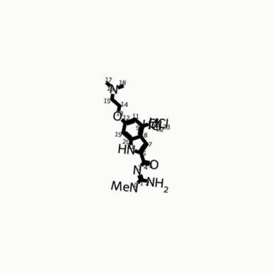 CNC(N)=NC(=O)c1cc2c(Cl)cc(OCCN(C)C)cc2[nH]1.Cl.Cl